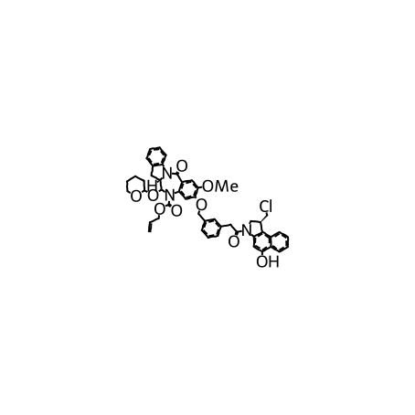 C=CCOC(=O)N1c2cc(OCc3cccc(CC(=O)N4C[C@@H](CCl)c5c4cc(O)c4ccccc54)c3)c(OC)cc2C(=O)N2c3ccccc3C[C@H]2C1OC1CCCCO1